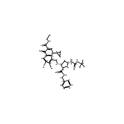 CCOC(=O)c1cn(C2CC2)c2c(CC[C@@H]3C[C@H](NC(=O)OC(C)(C)C)CN3C(=O)OCc3ccccc3)c(F)c(F)cc2c1=O